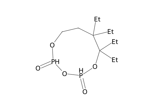 CCC1(CC)CCO[PH](=O)O[PH](=O)OC1(CC)CC